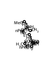 CCCC(N)(C(=O)OCNCc1cccc(CC)c1)N1N=C(c2ccccn2)NN1c1cc(F)cc(F)c1.CCCN(CCC)C(=O)c1cc(C)cc(C(=O)O)c1.CCCN(CCC)S(=O)(=O)CCC(=O)O[C@H](CNCc1cccc(OC)c1)[C@@H](N)Cc1cccc(C)c1